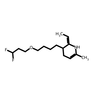 C/C=C1/NC(C)=CCC1CCCCOCCC(F)F